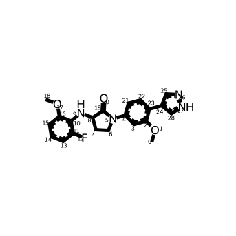 COc1cc(N2CCC(Nc3c(F)cccc3OC)C2=O)ccc1-c1cn[nH]c1